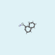 I[Si]c1cccc2ccccc12